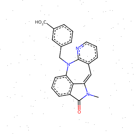 CN1C(=O)c2cccc3c2C1=Cc1cccnc1N3Cc1cccc(C(=O)O)c1